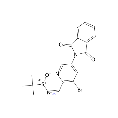 CC(C)(C)[S@+]([O-])/N=C\c1ncc(N2C(=O)c3ccccc3C2=O)cc1Br